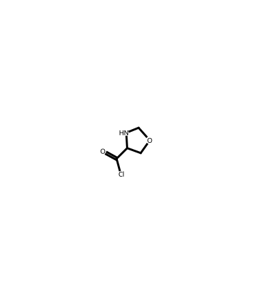 O=C(Cl)C1COCN1